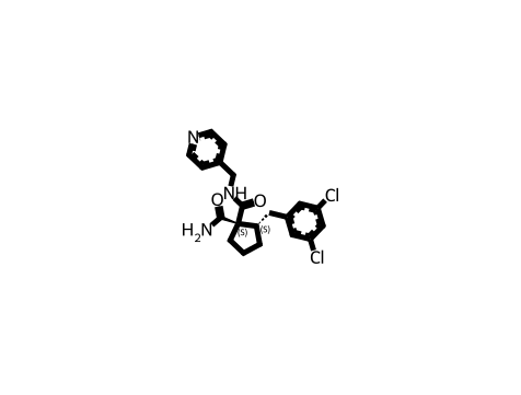 NC(=O)[C@]1(C(=O)NCc2ccncc2)CCC[C@H]1Cc1cc(Cl)cc(Cl)c1